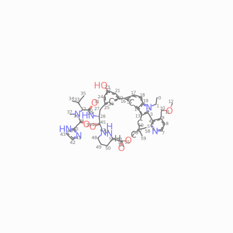 CCn1c(-c2cnccc2COC)c2c3cc(ccc31)-c1cc(O)cc(c1)C[C@H](NC(=O)[C@H](C(C)C)N(C)C(=O)c1ncc[nH]1)C(=O)N1CCC[C@H](N1)C(=O)OCC(C)(C)C2